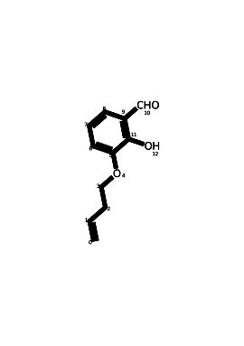 C=CCCOc1cccc(C=O)c1O